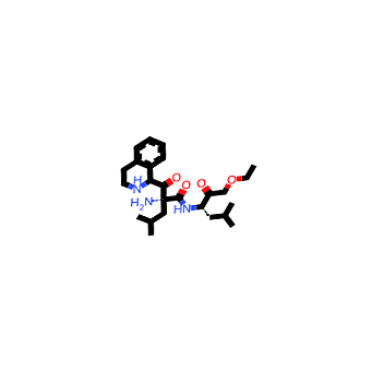 CCOCC(=O)[C@H](CC(C)C)NC(=O)[C@@](N)(CC(C)C)C(=O)C1NCCc2ccccc21